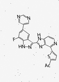 CC(=O)c1ccc(-c2nccc3[nH]c(-c4n[nH]c5c(F)cc(-c6cncnc6)cc45)nc23)s1